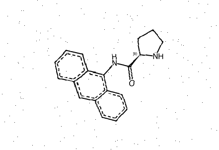 O=C(Nc1c2ccccc2cc2ccccc12)[C@H]1CCCN1